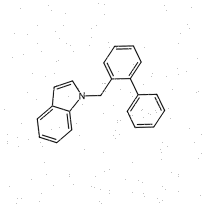 c1ccc(-c2ccccc2Cn2ccc3ccccc32)cc1